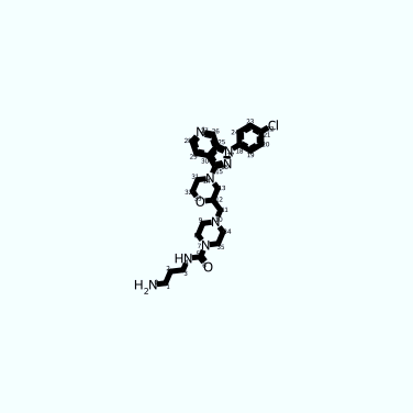 NCCCNC(=O)N1CCN(CC2CN(c3nn(-c4ccc(Cl)cc4)c4cnccc34)CCO2)CC1